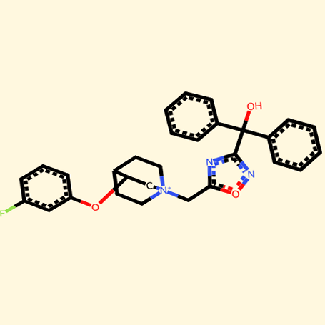 OC(c1ccccc1)(c1ccccc1)c1noc(C[N+]23CCC(CC2)C(Oc2cccc(F)c2)C3)n1